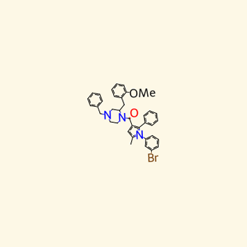 COc1ccccc1CC1CN(Cc2ccccc2)CCN1C(=O)c1cc(C)n(-c2cccc(Br)c2)c1-c1ccccc1